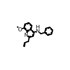 C=CCc1cc(NCc2ccccc2)c2cccc(OC)c2n1